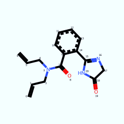 C=CCN(CC=C)C(=O)c1ccccc1C1=NCC(=O)N1